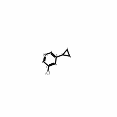 Clc1cncc(C2CC2)c1